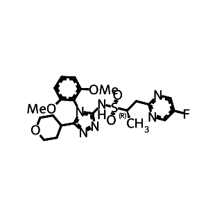 COc1cccc(OC)c1-n1c(NS(=O)(=O)[C@H](C)Cc2ncc(F)cn2)nnc1C1CCOCC1